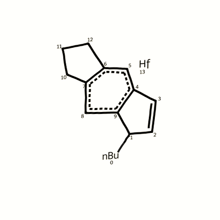 CCCC[C]1C=Cc2cc3c(cc21)CCC3.[Hf]